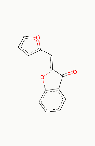 O=C1/C(=C/c2ccco2)Oc2ccccc21